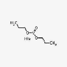 Br.CCC[O][V](=[O])[O]CCC